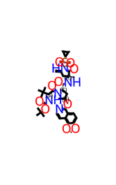 C=CC[C@@](C)(NC(=O)[C@@H]1C[C@@H](Oc2nccc3c4c(ccc23)OCO4)CN1C(=O)[C@@H](NC(=O)OC(C)(C)C)C(C)(C)C)C(=O)NS(=O)(=O)C1CC1